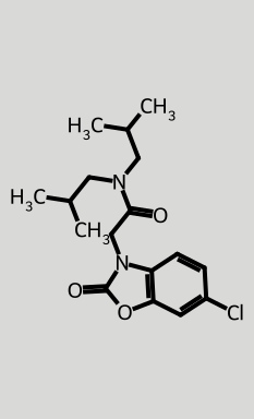 CC(C)CN(CC(C)C)C(=O)Cn1c(=O)oc2cc(Cl)ccc21